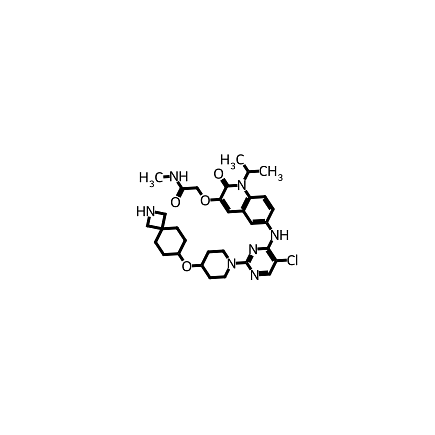 CNC(=O)COc1cc2cc(Nc3nc(N4CCC(OC5CCC6(CC5)CNC6)CC4)ncc3Cl)ccc2n(C(C)C)c1=O